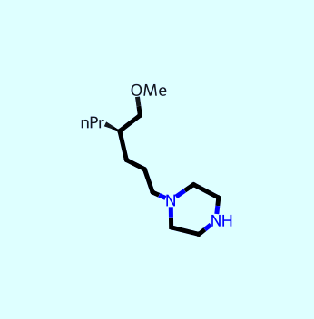 CCC[C@H](CCCN1CCNCC1)COC